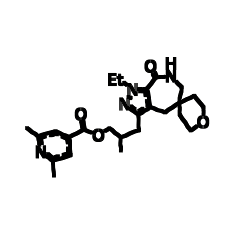 CCn1nc(CC(C)COC(=O)c2cc(C)nc(C)c2)c2c1C(=O)NCC1(CCOCC1)C2